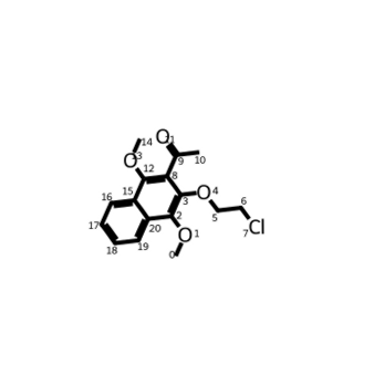 COc1c(OCCCl)c(C(C)=O)c(OC)c2ccccc12